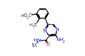 CCNC(=O)c1nc(-c2cccc(C(=O)O)c2C)cnc1N